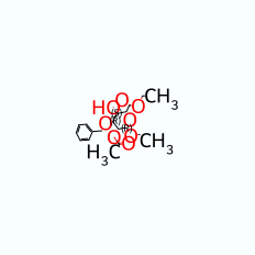 CCOC(=O)C1O[C@@H](OCC)C(OC(C)=O)[C@H](OCc2ccccc2)[C@@H]1O